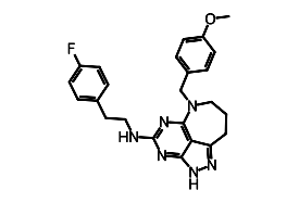 COc1ccc(CN2CCCc3n[nH]c4nc(NCCc5ccc(F)cc5)nc2c34)cc1